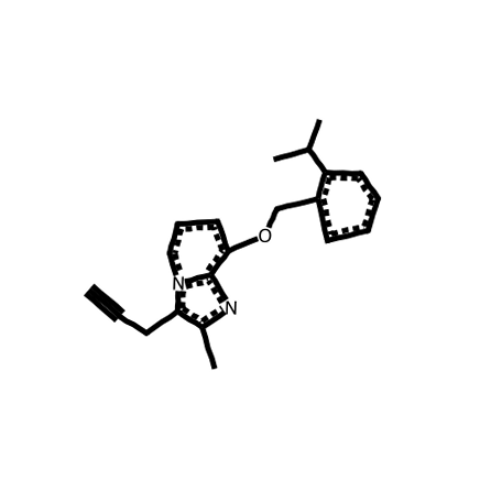 C#CCc1c(C)nc2c(OCc3ccccc3C(C)C)cccn12